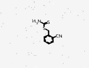 N#Cc1ccccc1CSC(N)=S